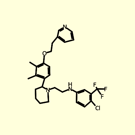 Cc1c(OCCc2cccnc2)ccc(C2CCCCN2CCNc2ccc(Cl)c(C(F)(F)F)c2)c1C